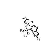 CCOC1(C(F)(F)F)CC(C#N)(O[Si](C)(C)C)c2cnc3cc(Cl)nn3c21